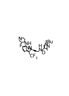 Cc1nn(C(C)(C)C)cc1C(=O)NCC#Cc1nn2c(N[C@@H]3CCN(C)C[C@@H]3F)cccc2c1CC(F)(F)F